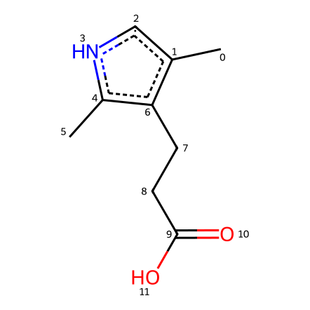 Cc1[c][nH]c(C)c1CCC(=O)O